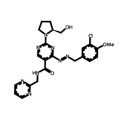 COc1ccc(CN=Nc2nc(N3CCC[C@H]3CO)ncc2C(=O)NCc2ncccn2)cc1Cl